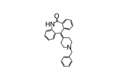 O=C1Nc2ccccc2C(=C2CCN(Cc3ccccc3)CC2)c2ccccc21